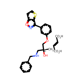 C[C@@](O)(CNCc1ccccc1)COc1cccc(-c2noc3ccsc23)c1.O=C(O)C=CC(=O)O